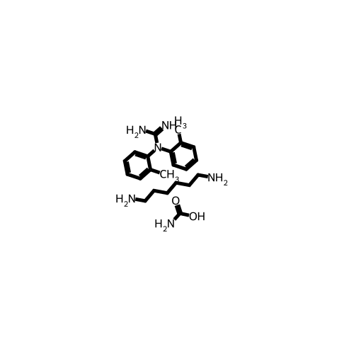 Cc1ccccc1N(C(=N)N)c1ccccc1C.NC(=O)O.NCCCCCCN